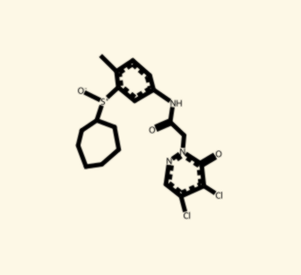 Cc1ccc(NC(=O)Cn2ncc(Cl)c(Cl)c2=O)cc1[S+]([O-])C1CCCCCC1